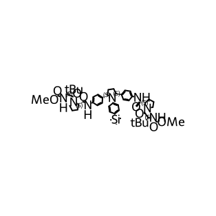 COC(=O)N[C@H](C(=O)N1CCC[C@H]1C(=O)Nc1ccc([C@@H]2CC[C@@H](c3ccc(NC(=O)[C@@H]4CCCN4C(=O)[C@@H](NC(=O)OC)C(C)(C)C)cc3)N2c2ccc([Si](C)(C)C)cc2)cc1)C(C)(C)C